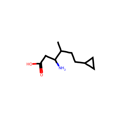 CC(CCC1CC1)C(N)CC(=O)O